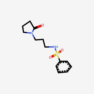 O=C1CCCN1CCCNS(=O)(=O)c1cc[c]cc1